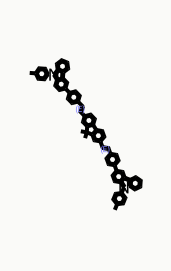 Cc1ccc(-n2c3ccccc3c3cc(-c4ccc(/C=C/c5ccc6c(c5)C(C)(C)c5cc(/C=C/c7ccc(-c8ccc9c(c8)c8ccccc8n9-c8ccc(C)cc8)cc7)ccc5-6)cc4)ccc32)cc1